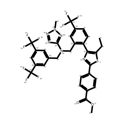 CCc1sc(-c2ccc(C(=O)OC)cc2)nc1-c1ccc(C(F)(F)F)cc1CN(Cc1cc(C(F)(F)F)cc(C(F)(F)F)c1)c1nnn(C)n1